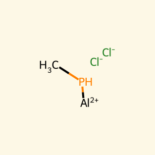 C[PH][Al+2].[Cl-].[Cl-]